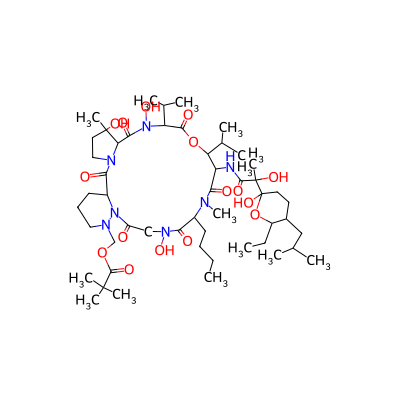 CCCCC1C(=O)N(O)CC(=O)N2C(CCCN2COC(=O)C(C)(C)C)C(=O)N2CCC(C)(O)C2C(=O)N(O)C(C(C)C)C(=O)OC(C(C)C)C(NC(=O)C(C)(O)C2(O)CCC(CC(C)C)C(CC)O2)C(=O)N1C